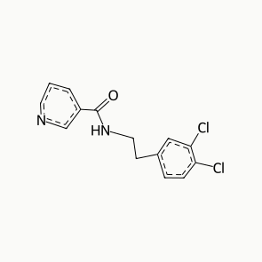 O=C(NCCc1ccc(Cl)c(Cl)c1)c1cccnc1